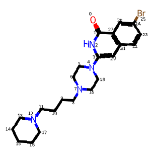 O=c1[nH]c(N2CCN(CCCCN3CCCCC3)CC2)cc2ccc(Br)cc12